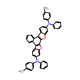 Cc1ccc(N(c2ccccc2)c2ccc3c(c2)oc2c4oc5cc(N(c6ccccc6)c6ccc(C)cc6)ccc5c4c4ccccc4c32)cc1